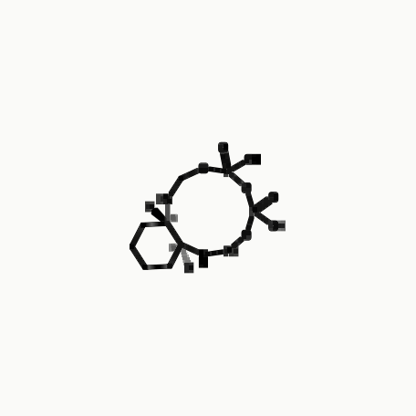 O=P1(O)OCN[C@H]2CCCC[C@@H]2NPOP(=O)(O)O1